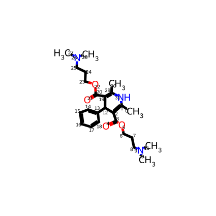 CC1=C(C(=O)OCCCN(C)C)C(c2ccccc2)C(C(=O)OCCCN(C)C)=C(C)N1